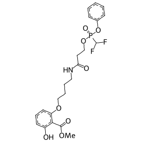 COC(=O)c1c(O)cccc1OCCCCNC(=O)CCOP(=O)(Oc1ccccc1)C(F)F